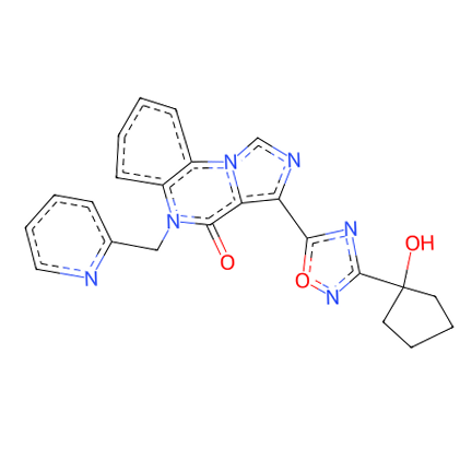 O=c1c2c(-c3nc(C4(O)CCCC4)no3)ncn2c2ccccc2n1Cc1ccccn1